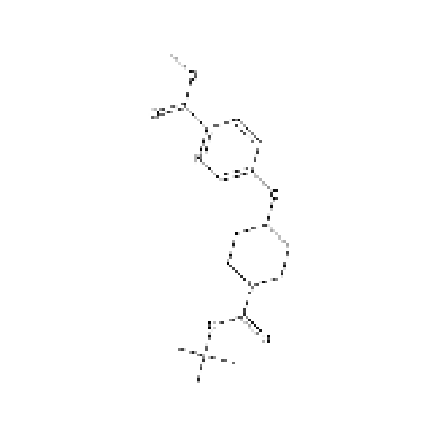 COC(=O)c1ccc(OC2CCN(C(=O)OC(C)(C)C)CC2)cn1